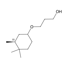 C[C@H]1CC(OCCCO)CCC1(C)C